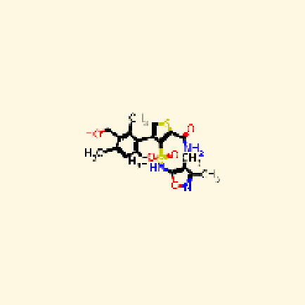 Cc1cc(C)c(-c2csc(C(N)=O)c2S(=O)(=O)Nc2onc(C)c2C)c(C)c1CO